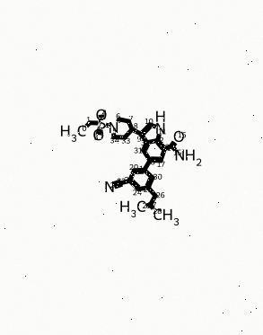 CCS(=O)(=O)N1CCC(c2c[nH]c3c(C(N)=O)cc(-c4cc(C#N)cc(CC(C)C)c4)cc23)CC1